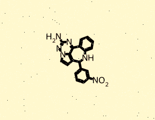 Nc1nc2c3c(ccn3n1)C(c1cccc([N+](=O)[O-])c1)Nc1ccccc1-2